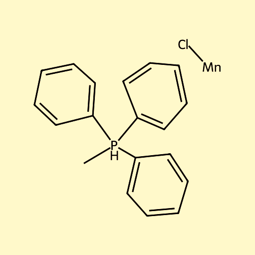 C[PH](c1ccccc1)(c1ccccc1)c1ccccc1.[Cl][Mn]